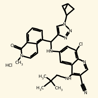 Cl.Cn1ccc2c(C(Nc3cc(Cl)c4ncc(C#N)c(NCC(C)(C)C)c4c3)c3cn(C45CC(C4)C5)nn3)cccc2c1=O